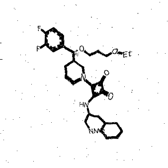 CCOCCCO[C@@H](c1ccc(F)c(F)c1)C1CCCN(c2c(NC(CNC)CC3CCCCC3)c(=O)c2=O)C1